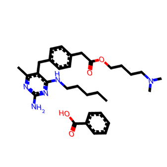 CCCCCNc1nc(N)nc(C)c1Cc1ccc(CC(=O)OCCCCN(C)C)cc1.O=C(O)c1ccccc1